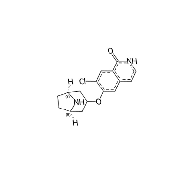 O=c1[nH]ccc2cc(OC3C[C@H]4CC[C@@H](C3)N4)c(Cl)cc12